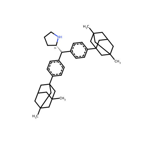 CC12CC3CC(C)(C1)CC(c1ccc(C(c4ccc(C56CC7CC(C)(CC(C)(C7)C5)C6)cc4)[C@@H]4CCCN4)cc1)(C3)C2